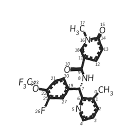 Cc1cccnc1[C@@H](NC(=O)c1ccc(=O)n(C)c1)c1ccc(OC(F)(F)F)c(F)c1